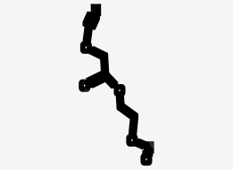 N#COCC(=O)OCCON=O